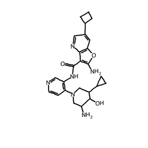 Nc1oc2cc(C3CCC3)cnc2c1C(=O)Nc1cnccc1N1CC(N)C(O)C(C2CC2)C1